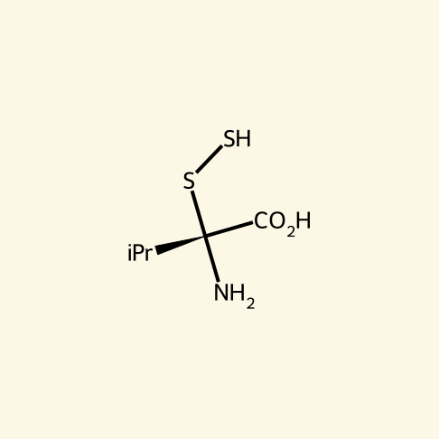 CC(C)[C@@](N)(SS)C(=O)O